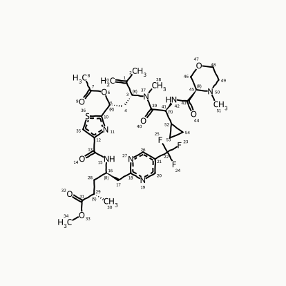 C=C(C)[C@@H](C[C@@H](OC(C)=O)c1nc(C(=O)N[C@@H](Cc2ncc(C(F)(F)F)cn2)C[C@H](C)C(=O)OC)cs1)N(C)C(=O)[C@@H](NC(=O)[C@H]1COCCN1C)C1CC1